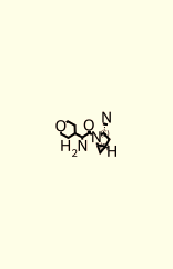 N#C[C@@H]1C[C@@H]2CC2N1C(=O)C(N)C1CCOCC1